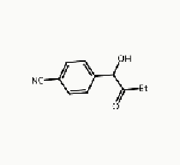 CCC(=O)C(O)c1ccc(C#N)cc1